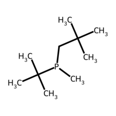 CP(CC(C)(C)C)C(C)(C)C